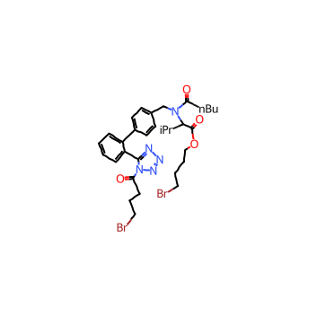 CCCCC(=O)N(Cc1ccc(-c2ccccc2-c2nnnn2C(=O)CCCBr)cc1)C(C(=O)OCCCCBr)C(C)C